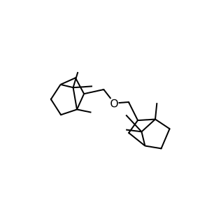 CC1(C)C2CCC1(C)C(COCC1CC3CCC1(C)C3(C)C)C2